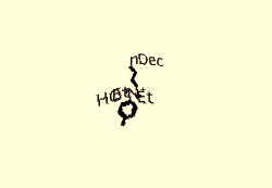 CCCCCCCCCCCCCC[N+](CC)(CC)c1ccc(C)cc1.[OH-]